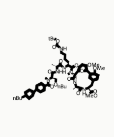 CCCCOC[C@H](C(=O)N[C@H](C)C(=O)N[C@@H](CCCCNC(=O)OC(C)(C)C)C(=O)N(C)[C@@H]1C(=O)N[C@@H](C)C(=O)N[C@H](C(=O)OC)Cc2ccc(OC)c(c2)-c2cc1ccc2OC)N(C)C(=O)c1ccc(-c2ccc(CCCC)cc2)cc1